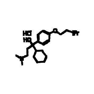 CC(C)CCOc1ccc(C(O)(CCN(C)C)C2CCCCC2)cc1.Cl